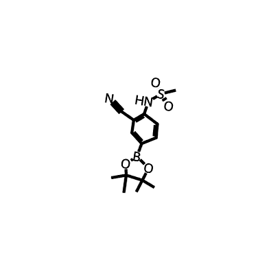 CC1(C)OB(c2ccc(NS(C)(=O)=O)c(C#N)c2)OC1(C)C